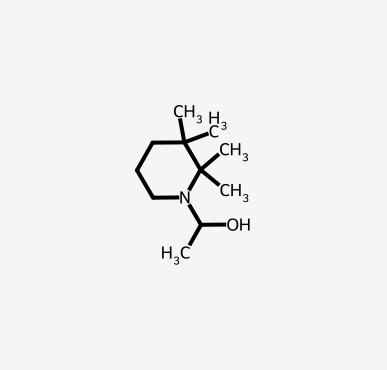 CC(O)N1CCCC(C)(C)C1(C)C